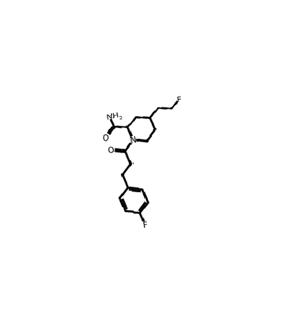 NC(=O)C1CC(CCF)CCN1C(=O)[CH]Cc1ccc(F)cc1